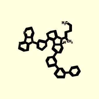 C/C=C\C=C(/C)N1C2=CCCC(C3=CC(n4c5cccnc5c5ncccc54)=CCC3)=C2C2C=C(c3cccc(-c4cccc(-c5ccccc5)c4)c3)C=C[C@@H]21